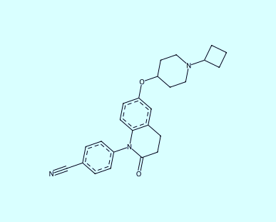 N#Cc1ccc(N2C(=O)CCc3cc(OC4CCN(C5CCC5)CC4)ccc32)cc1